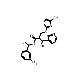 Cc1csc(SCC(C(=O)OC(Cl)c2cccc(C(F)(F)F)c2)C(O)c2cccnc2)n1